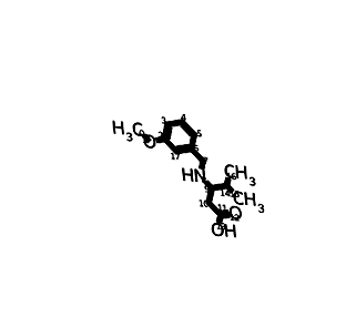 COc1cccc(CNC(CC(=O)O)C(C)C)c1